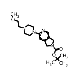 COCCN1CCN(c2cc3c(cn2)CN(C(=O)OC(C)(C)C)C3)CC1